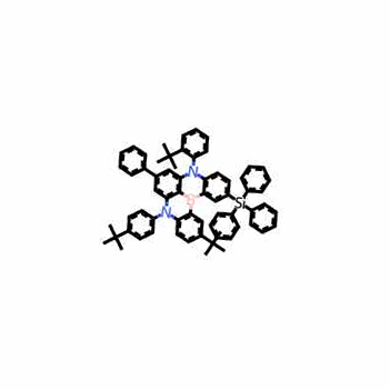 CC(C)(C)c1ccc(N2c3ccc(C(C)(C)C)cc3B3c4cc([Si](c5ccccc5)(c5ccccc5)c5ccccc5)ccc4N(c4ccccc4C(C)(C)C)c4cc(-c5ccccc5)cc2c43)cc1